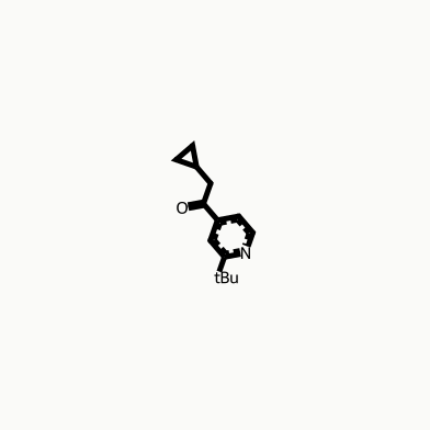 CC(C)(C)c1cc(C(=O)CC2CC2)ccn1